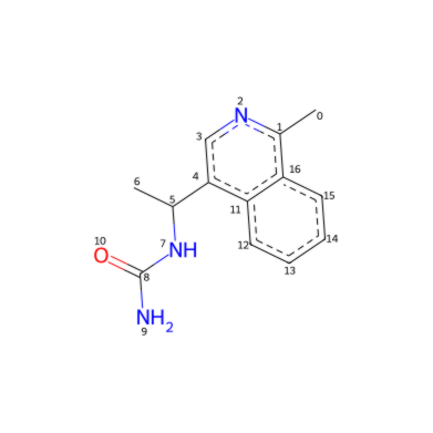 Cc1ncc(C(C)NC(N)=O)c2ccccc12